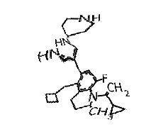 C=C(C1CC1)N1c2c(F)cc(/C(C=N)=C/NC3CCNCC3)c(CC3CCC3)c2CCC1C